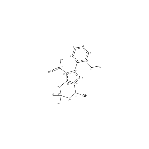 CCc1ccccc1-c1sc2c(c1C(C)=O)CC(C)(C)CC2O